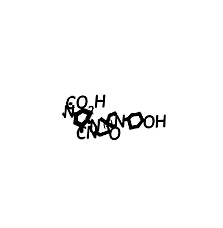 CN(C(=O)O)c1ccc(N2CCC[C@]3(CCN(C4CCC(O)CC4)C3=O)C2)c(C#N)c1